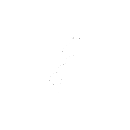 CCCCCCCCCN1CCC(OCC2CCN(CCCCCC)CC2)CC1